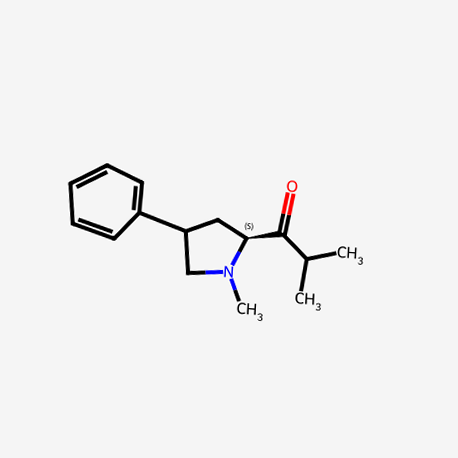 CC(C)C(=O)[C@@H]1CC(c2ccccc2)CN1C